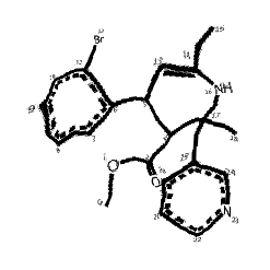 COC(=O)C1C(c2ccccc2Br)C=C(C)NC1(C)c1cccnc1